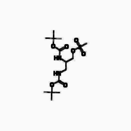 CC(C)(C)OC(=O)NCC(COS(C)(=O)=O)NC(=O)OC(C)(C)C